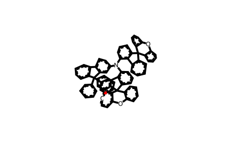 c1ccc(C2(c3ccccc3)c3ccccc3-c3ccc(N(c4cccc5c4-c4ccccc4C54c5ccccc5Oc5ccccc54)c4cccc5c4-c4ccccc4C54c5ccccc5Oc5ccccc54)cc32)cc1